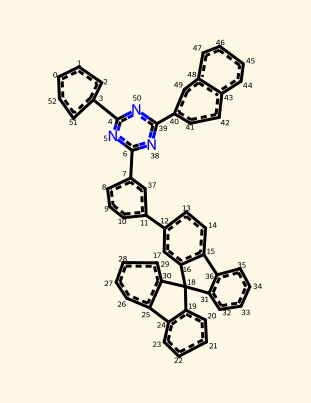 c1ccc(-c2nc(-c3cccc(-c4ccc5c(c4)C4(c6ccccc6-c6ccccc64)c4ccccc4-5)c3)nc(-c3ccc4ccccc4c3)n2)cc1